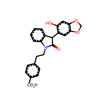 O=C(O)c1ccc(CCN2C(=O)C(c3cc4c(cc3O)OCO4)c3ccccc32)cc1